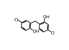 Oc1cc(Cl)ccc1Cc1cc(Cl)ccc1O